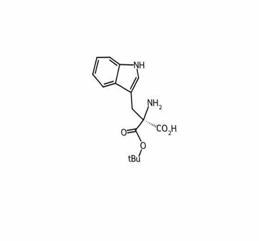 CC(C)(C)OC(=O)[C@](N)(Cc1c[nH]c2ccccc12)C(=O)O